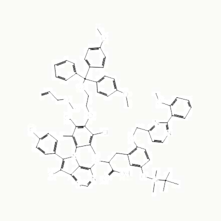 C=CCOC[C@H](COC(c1ccccc1)(c1ccc(OC)cc1)c1ccc(OC)cc1)Oc1c(Cl)c(C)c(-n2c(-c3ccc(F)cc3)c(Cl)c3ncnc(OC(Cc4cc(O[Si](C)(C)C(C)(C)C)ccc4OCc4ccnc(-c5ccccc5OC)n4)C(=O)O)c32)c(C)c1Cl